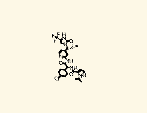 COC[C@H](c1ccnc(NC(=O)[C@@H](NC(=O)c2ccnn2C(C)C)C2CCC(Cl)CC2)c1)N1C[C@@H](C(F)(F)F)NC1=O